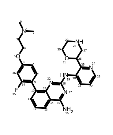 CN(C)CCOc1ccc(-c2cccc3c(N)nc(Nc4cccnc4C4CNCCO4)nc23)c(F)c1